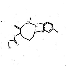 C[C@@H]1OC(=O)C(NC(=O)OC(C)(C)C)CCC[C@H](O)[C@H]1Cc1ccc(F)cc1